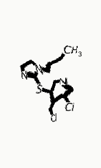 CCCCn1ccnc1Sc1cncc(Cl)c1CCl